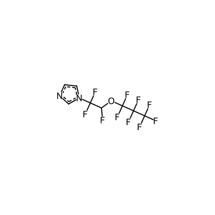 FC(OC(F)(F)C(F)(F)C(F)(F)F)C(F)(F)n1ccnc1